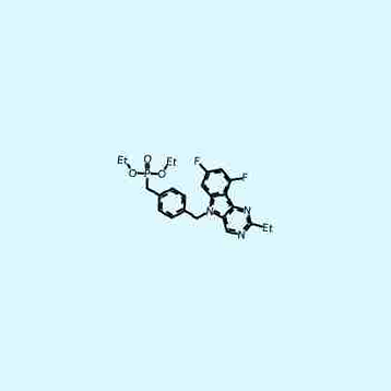 CCOP(=O)(Cc1ccc(Cn2c3cnc(CC)nc3c3c(F)cc(F)cc32)cc1)OCC